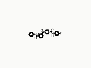 O=C(Nc1ccccc1)c1cccc(C(=O)N2CCN(C(=O)Nc3ccc(F)cc3)CC2)c1